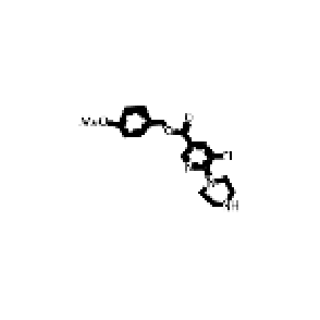 COc1ccc(COC(=O)c2cnc(N3CCNCC3)c(Cl)c2)cc1